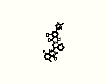 Cc1ncn(-c2cc(Cl)c(C(=O)NCC(c3cccnc3)c3nc4c(F)ccc(C)c4c(=O)n3C)c(Cl)c2)n1